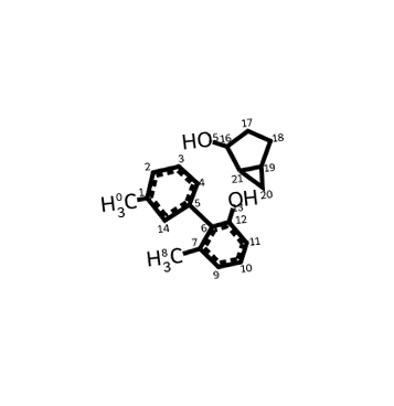 Cc1cccc(-c2c(C)cccc2O)c1.OC1CCC2CC12